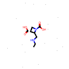 CCNCC1CCN1C(=O)O.O=CO